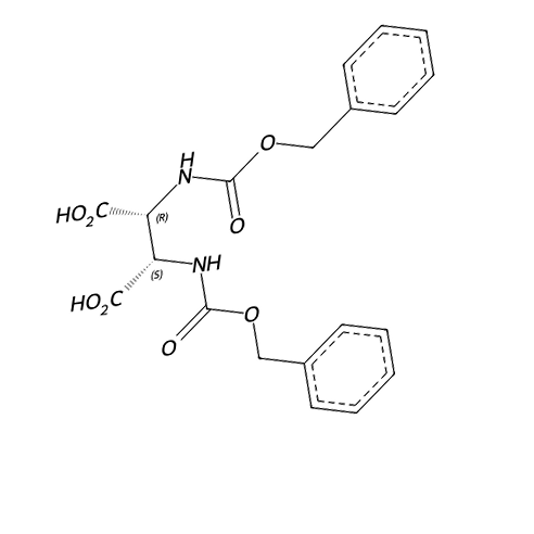 O=C(N[C@H](C(=O)O)[C@@H](NC(=O)OCc1ccccc1)C(=O)O)OCc1ccccc1